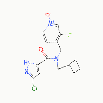 O=C(c1cc(Cl)n[nH]1)N(Cc1cc[n+]([O-])cc1F)CC1CCC1